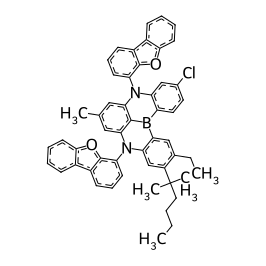 CCCCC(C)(C)c1cc2c(cc1CC)B1c3ccc(Cl)cc3N(c3cccc4c3oc3ccccc34)c3cc(C)cc(c31)N2c1cccc2c1oc1ccccc12